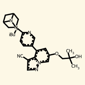 CCC(C)SN1C2CC1CN(c1ccc(-c3cc(OCC(C)(C)O)cn4ncc(C#N)c34)cn1)C2